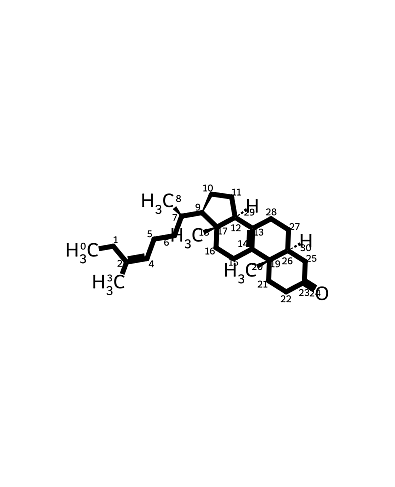 CCC(C)=CCC[C@@H](C)[C@H]1CC[C@H]2C3=C(CC[C@]12C)[C@@]1(C)CCC(=O)C[C@@H]1CC3